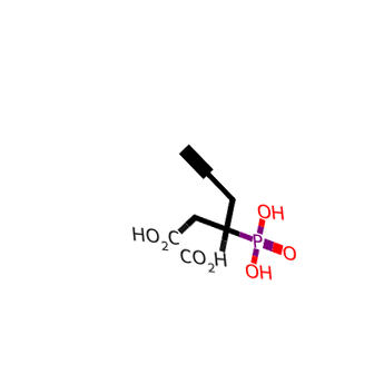 C#CCC(CC(=O)O)(C(=O)O)P(=O)(O)O